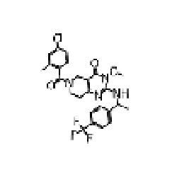 COn1c(NC(C)c2ccc(C(F)(F)F)cc2)nc2c(c1=O)CN(C(=O)c1ccc(Cl)cc1C)CC2